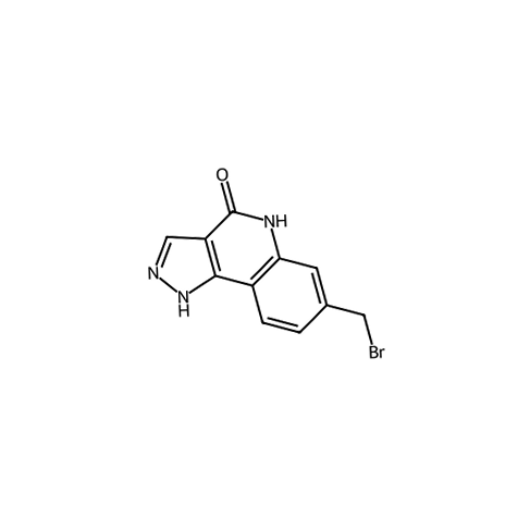 O=c1[nH]c2cc(CBr)ccc2c2[nH]ncc12